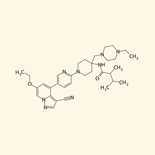 CCOc1cc(-c2ccc(N3CCC(CN4CCN(CC)CC4)(NC(=O)C(C)C(C)C)CC3)nc2)c2c(C#N)cnn2c1